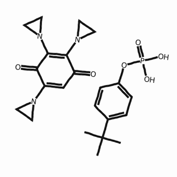 CC(C)(C)c1ccc(OP(=O)(O)O)cc1.O=C1C=C(N2CC2)C(=O)C(N2CC2)=C1N1CC1